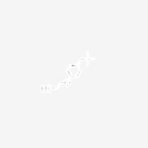 CC(C)(C)Cc1ccc(OCCO)cc1